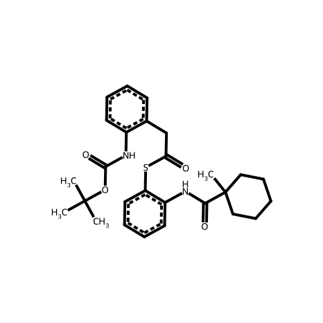 CC(C)(C)OC(=O)Nc1ccccc1CC(=O)Sc1ccccc1NC(=O)C1(C)CCCCC1